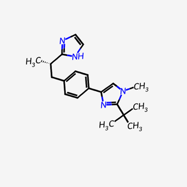 C[C@@H](Cc1ccc(-c2cn(C)c(C(C)(C)C)n2)cc1)c1ncc[nH]1